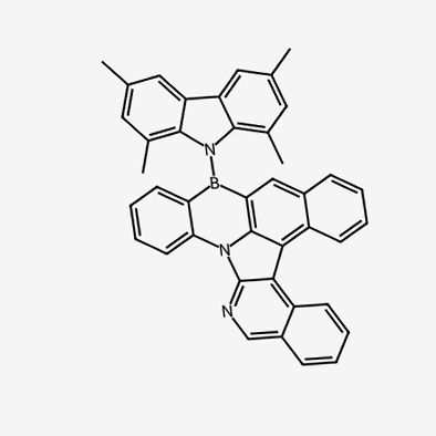 Cc1cc(C)c2c(c1)c1cc(C)cc(C)c1n2B1c2ccccc2-n2c3ncc4ccccc4c3c3c4ccccc4cc1c32